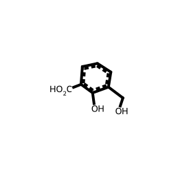 O=C(O)c1cccc(CO)c1O